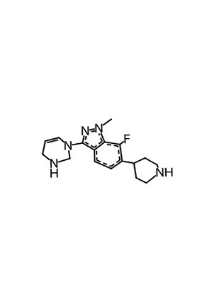 Cn1nc(N2C=CCNC2)c2ccc(C3CCNCC3)c(F)c21